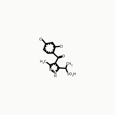 Cc1n[nH]c(C(C)S(=O)(=O)O)c1C(=O)c1ccc(Cl)cc1Cl